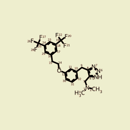 CN(C)Cc1[nH]nnc1Cc1[c]c(OCCc2cc(C(F)(F)F)cc(C(F)(F)F)c2)ccc1